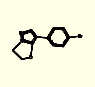 Brc1ccc(-c2cnn3c2OCC3)cc1